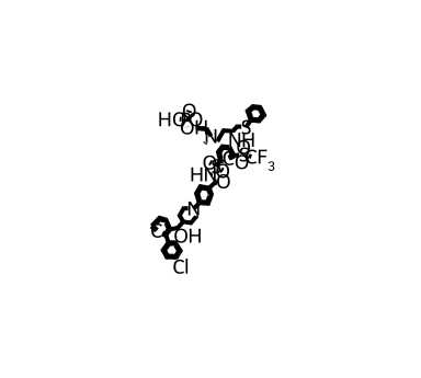 CN(CCOP(=O)(O)O)CCC(CSc1ccccc1)Nc1ccc(S(=O)(=O)NC(=O)c2ccc(N3CCC([C@H](O)c4ccccc4-c4ccc(Cl)cc4)CC3)cc2)cc1S(=O)(=O)C(F)(F)F